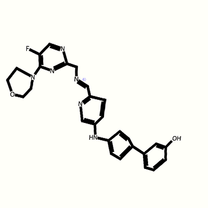 Oc1cccc(-c2ccc(Nc3ccc(/C=N/Cc4ncc(F)c(N5CCOCC5)n4)nc3)cc2)c1